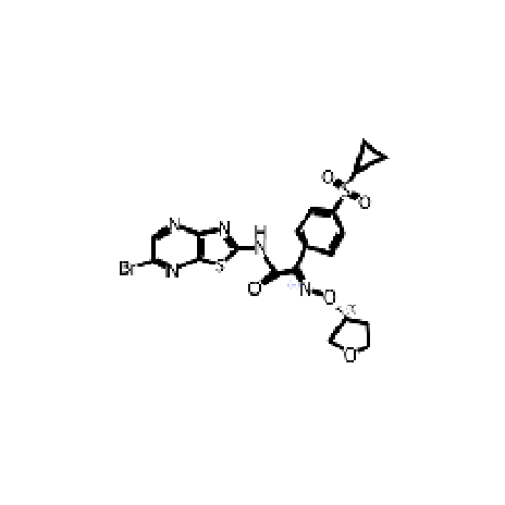 O=C(Nc1nc2ncc(Br)nc2s1)/C(=N/O[C@@H]1CCOC1)c1ccc(S(=O)(=O)C2CC2)cc1